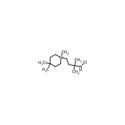 CC1(C)CC[N+](C)(CCC(C)(C)NCl)CC1